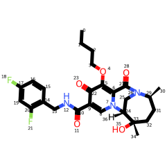 CCCCOc1c2n(cc(C(=O)NCc3ccc(F)cc3F)c1=O)[C@@H]1CN(C2=O)[C@@H](C)CC[C@]1(C)O